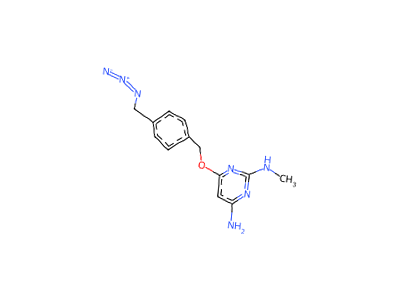 CNc1nc(N)cc(OCc2ccc(CN=[N+]=[N-])cc2)n1